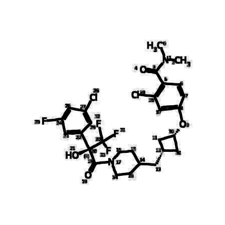 CN(C)C(=O)c1ccc(O[C@H]2C[C@@H](CC3CCN(C(=O)[C@](O)(c4cc(F)cc(Cl)c4)C(F)(F)F)CC3)C2)cc1Cl